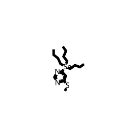 CCC[CH2][Sn]([CH2]CCC)([CH2]CCC)[c]1cc(SC)ncn1